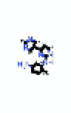 Cc1ccc(N)cc1Nc1nccc(-c2cncnc2)n1